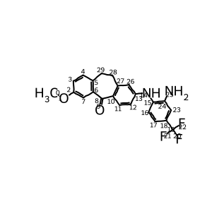 COc1ccc2c(c1)C(=O)c1ccc(Nc3ccc(C(F)(F)F)cc3N)cc1CC2